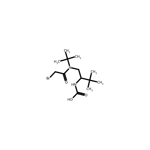 CC(C)(C)C(CN(C(=O)CBr)C(C)(C)C)NC(=O)O